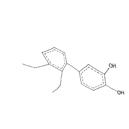 CCc1cccc(-c2ccc(O)c(O)c2)c1CC